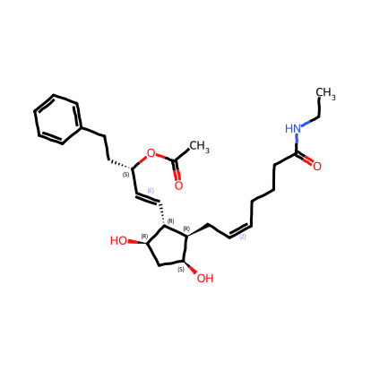 CCNC(=O)CCC/C=C\C[C@@H]1[C@@H](/C=C/[C@H](CCc2ccccc2)OC(C)=O)[C@H](O)C[C@@H]1O